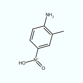 Cc1cc([N+](=O)O)ccc1N